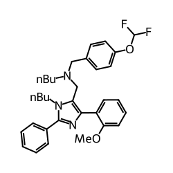 CCCCN(Cc1ccc(OC(F)F)cc1)Cc1c(-c2ccccc2OC)nc(-c2ccccc2)n1CCCC